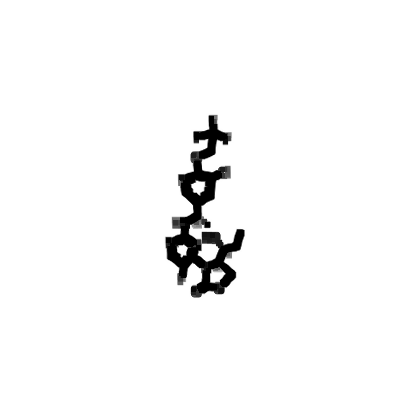 CC[C@@H](O)[C@H]1COC(=O)N1c1nc(N[C@@H](C)c2cnc(OCC(F)(F)F)c(Cl)c2)ncc1F